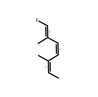 C\C=C(C)/C=C\C(C)=C\F